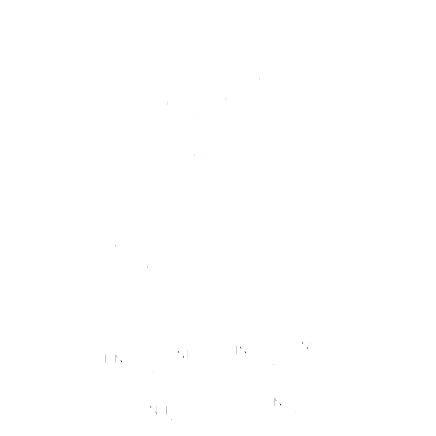 CCC(C)OCC(C)(COC(=O)C(C)(CC)OCc1ccc(C)cc1)C(=O)OC(CNC(=N)N)CNC(=N)N